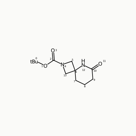 CC(C)(C)OC(=O)N1CC2(CCCC(=O)N2)C1